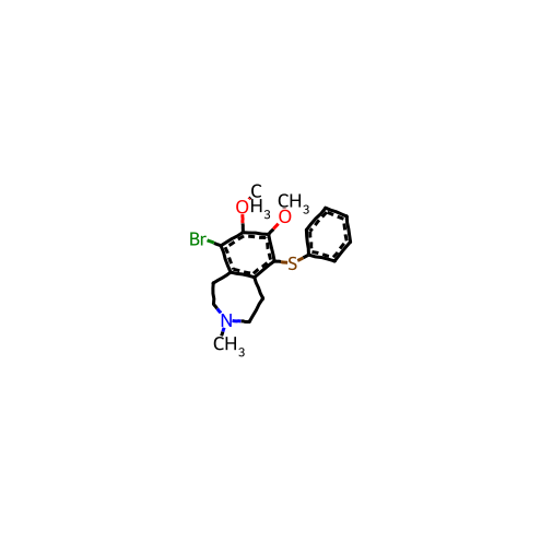 COc1c(Br)c2c(c(Sc3ccccc3)c1OC)CCN(C)CC2